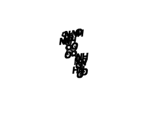 COC(=O)NCC(=O)N1CCCC1c1ncc(-c2cc3c4c(c2)OCc2cc(-c5cnc(C6CCCN6C(=O)CNC=O)[nH]5)cc(c2-4)OC3)[nH]1